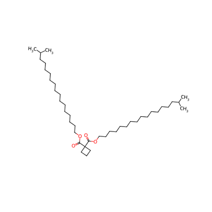 CC(C)CCCCCCCCCCCCCCCOC(=O)C1(C(=O)OCCCCCCCCCCCCCCCC(C)C)CCC1